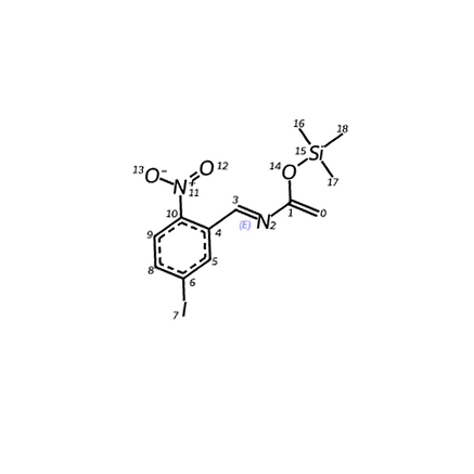 C=C(/N=C/c1cc(I)ccc1[N+](=O)[O-])O[Si](C)(C)C